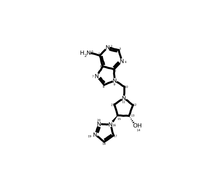 Nc1ncnc2c1ncn2CN1C[C@H](O)[C@@H](n2ccnn2)C1